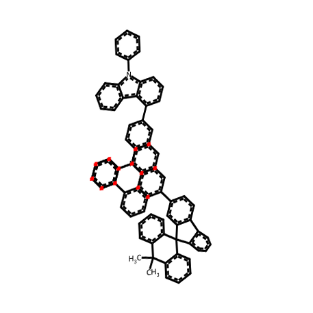 CC1(C)c2ccccc2C2(c3ccccc3-c3ccc(-c4ccc(N(c5ccc(-c6cccc7c6c6ccccc6n7-c6ccccc6)cc5)c5ccccc5-c5ccccc5-c5ccccc5-c5ccccc5)cc4)cc32)c2ccccc21